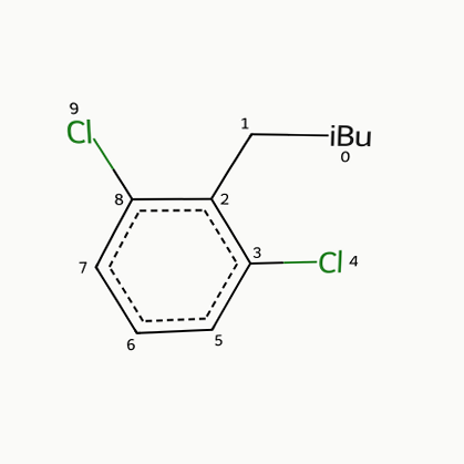 CCC(C)Cc1c(Cl)cccc1Cl